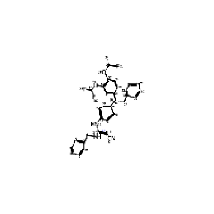 N#C/N=C(\NCc1ccccc1)Nc1ccc([C@@H](Cc2ccncc2)c2ccc(OC(F)F)c(OC(F)F)c2)cc1